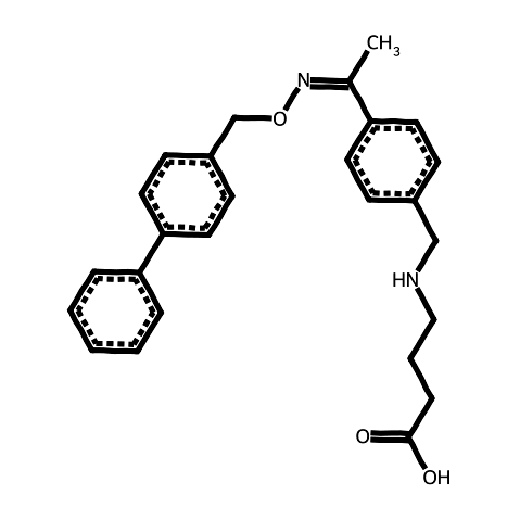 CC(=NOCc1ccc(-c2ccccc2)cc1)c1ccc(CNCCCC(=O)O)cc1